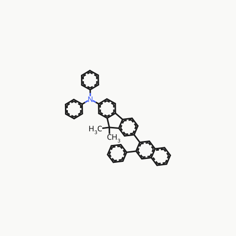 CC1(C)c2cc(-c3cc4ccccc4cc3-c3ccccc3)ccc2-c2ccc(N(c3ccccc3)c3ccccc3)cc21